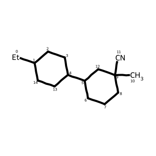 CCC1CCC(C2CCCC(C)(C#N)C2)CC1